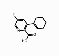 O=C(O)c1ncc(F)cc1C1=CCCCC1